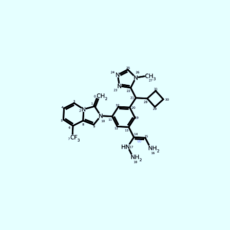 C=C1N2C=CC=C(C(F)(F)F)C2=CN1c1cc(/C(=C/N)NN)cc(C(c2nncn2C)C2CCC2)c1